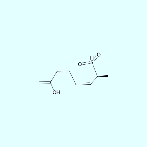 C=C(O)/C=C\C=C/[C@H](C)[SH](=O)=O